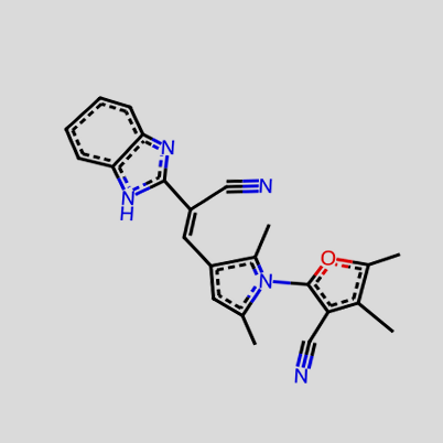 Cc1oc(-n2c(C)cc(C=C(C#N)c3nc4ccccc4[nH]3)c2C)c(C#N)c1C